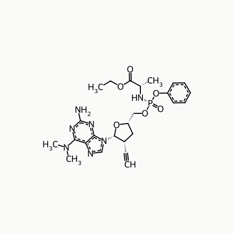 C#C[C@H]1C[C@@H](CO[P@@](=O)(N[C@@H](C)C(=O)OCC)Oc2ccccc2)O[C@H]1n1cnc2c(N(C)C)nc(N)nc21